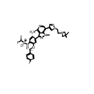 C[C@H](Oc1cc(-c2nn(C)c3c(-c4cnn(CCN5CC(C)(C)C5)c4)cnc(N)c23)ccc1NS(=O)(=O)C(F)F)c1ccc(F)cc1